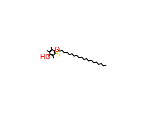 CCCCCCCCCCCCCCCCCCCC1Oc2c(C)c(C)c(O)c(C)c2S1